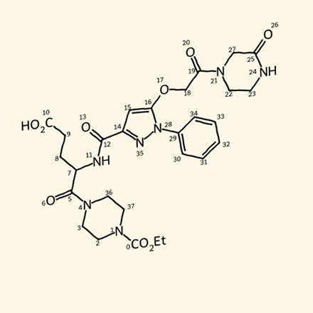 CCOC(=O)N1CCN(C(=O)C(CCC(=O)O)NC(=O)c2cc(OCC(=O)N3CCNC(=O)C3)n(-c3ccccc3)n2)CC1